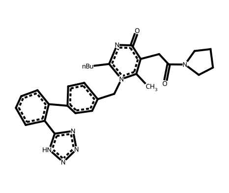 CCCCc1nc(=O)c(CC(=O)N2CCCC2)c(C)n1Cc1ccc(-c2ccccc2-c2nnn[nH]2)cc1